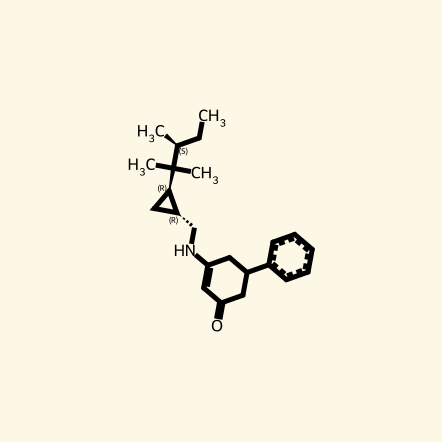 CC[C@H](C)C(C)(C)[C@@H]1C[C@H]1CNC1=CC(=O)CC(c2ccccc2)C1